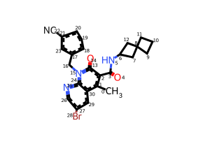 Cc1c(C(=O)NC2CC3(CCC3)C2)c(=O)n(Cc2cccc(C#N)c2)c2ncc(Br)cc12